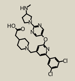 CNC1CCN(c2ncc(Oc3cc(CN4CCC(CC(=O)O)CC4)cc(-c4cc(Cl)cc(Cl)c4)n3)cn2)C1